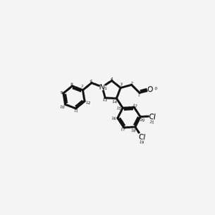 O=CCC1CN(Cc2ccccc2)CC1c1ccc(Cl)c(Cl)c1